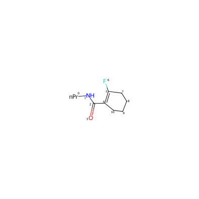 CCCNC(=O)C1=C(F)CCCC1